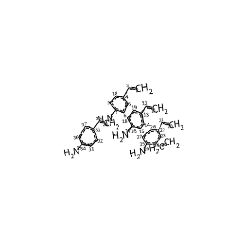 C=C.C=Cc1ccc(N)cc1.C=Cc1ccc(N)cc1.C=Cc1ccc(N)cc1.C=Cc1ccc(N)cc1